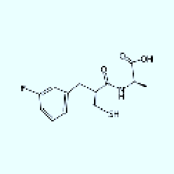 C[C@@H](NC(=O)[C@@H](CS)Cc1cccc(F)c1)C(=O)O